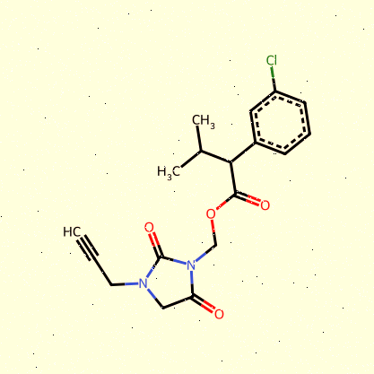 C#CCN1CC(=O)N(COC(=O)C(c2cccc(Cl)c2)C(C)C)C1=O